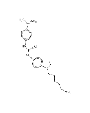 CCCCCCN1CCc2cc(OC(=O)Nc3ccc(C(C)C)cc3)ccc21